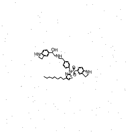 CCCCCCCCc1csc(N(c2ccc(CCNCC(O)c3ccc4c(c3)CCN4)cc2)S(=O)(=O)c2ccc3c(c2)CCN3)n1